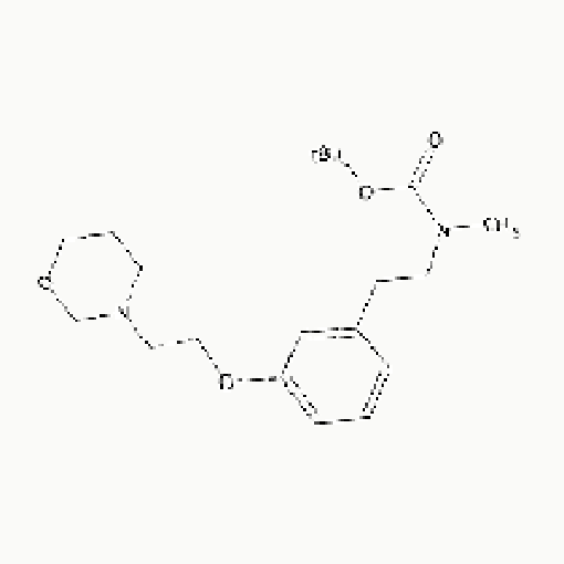 CN(CCc1cccc(OCCN2CCCOC2)c1)C(=O)OC(C)(C)C